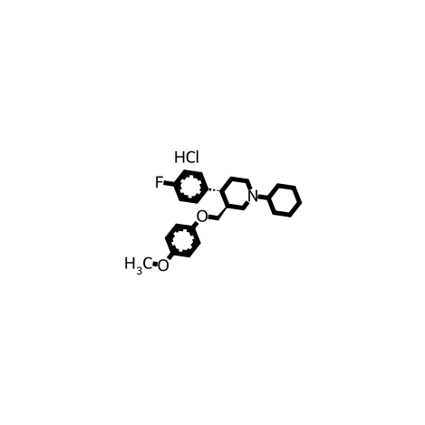 COc1ccc(OC[C@@H]2CN(C3CCCCC3)CC[C@H]2c2ccc(F)cc2)cc1.Cl